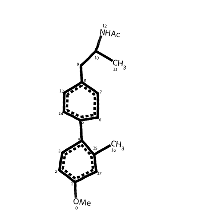 COc1ccc(-c2ccc(CC(C)NC(C)=O)cc2)c(C)c1